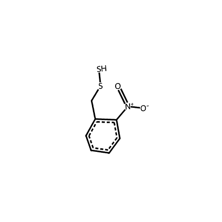 O=[N+]([O-])c1ccccc1CSS